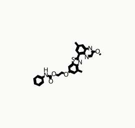 COc1cnc2c(-c3nc4c(C)cc(OCCOC(=O)Nc5ccccc5)cc4s3)cc(C)cc2n1